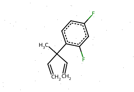 C=CC(C)(C=C)c1ccc(F)cc1F